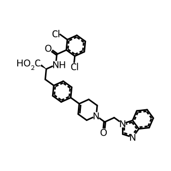 O=C(N[C@@H](Cc1ccc(C2=CCN(C(=O)Cn3cnc4ccccc43)CC2)cc1)C(=O)O)c1c(Cl)cccc1Cl